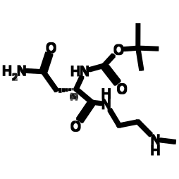 CNCCNC(=O)[C@H](CC(N)=O)NC(=O)OC(C)(C)C